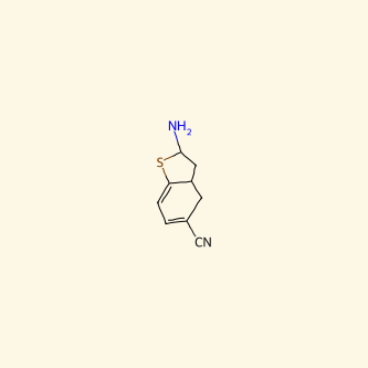 N#CC1=CC=C2SC(N)CC2C1